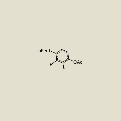 CCCCCc1ccc(OC(C)=O)c(F)c1F